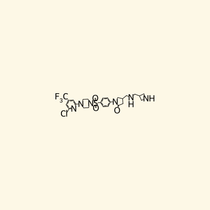 O=C1CC(CNCC2CNC2)CN1c1ccc(S(=O)(=O)N2CCN(c3cc(C(F)(F)F)cc(Cl)n3)CC2)cc1